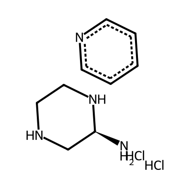 Cl.Cl.N[C@H]1CNCCN1.c1ccncc1